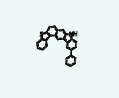 c1ccc(-c2ccc3[nH]c4cc5ccc6sc7ccccc7c6c5cc4c3c2)cc1